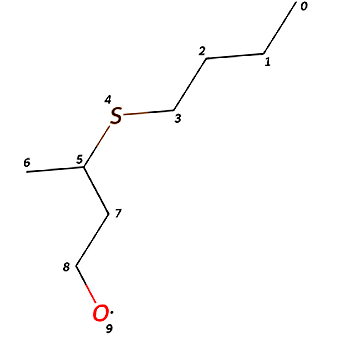 CCCCSC(C)CC[O]